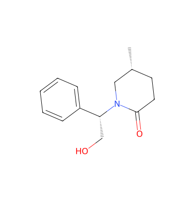 C[C@@H]1CCC(=O)N([C@H](CO)c2ccccc2)C1